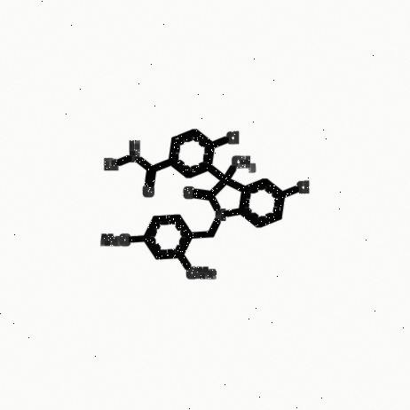 CCNC(=O)c1ccc(Cl)c(C2(C)C(=O)N(Cc3ccc(OC)cc3OC)c3ccc(Cl)cc32)c1